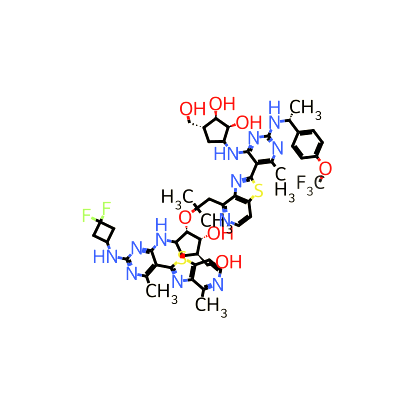 Cc1nc(NC2CC(F)(F)C2)nc(NC2C[C@H](CO)[C@@H](O)[C@H]2OC(C)(C)Cc2nccc3sc(-c4c(C)nc(N[C@H](C)c5ccc(OC(F)(F)F)cc5)nc4NC4C[C@H](CO)[C@@H](O)[C@H]4O)nc23)c1-c1nc2c(C)nccc2s1